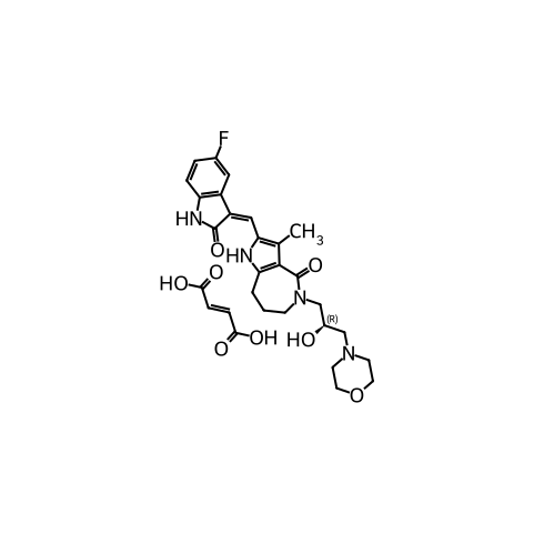 Cc1c(C=C2C(=O)Nc3ccc(F)cc32)[nH]c2c1C(=O)N(C[C@H](O)CN1CCOCC1)CCC2.O=C(O)C=CC(=O)O